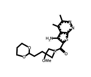 COC1(CCC2OCCCO2)CN(C(=O)c2sc3nnc(C)c(C)c3c2N)C1